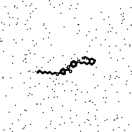 C=CCCCCCCOc1ccc(C(=O)Oc2ccc(OCCCC3CCCCC3CCC)cc2)cc1